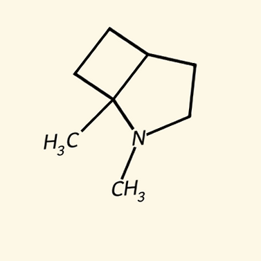 CN1CCC2CCC21C